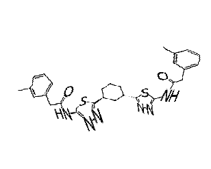 Cc1cccc(CC(=O)Nc2nnc([C@H]3CCC[C@H](c4nnc(NC(=O)Cc5cccc(C)c5)s4)C3)s2)c1